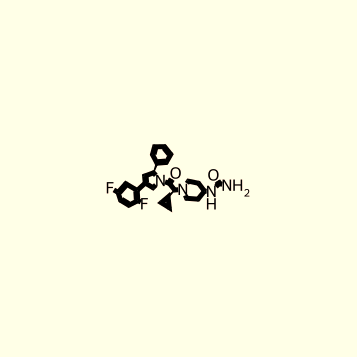 NC(=O)NC1CCN([C@H](C(=O)N2CC(c3cc(F)ccc3F)=C[C@H]2c2ccccc2)C2CC2)CC1